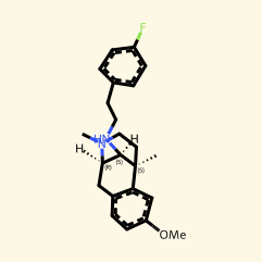 COc1ccc2c(c1)[C@]1(C)CCN(C)[C@H](C2)[C@H]1NCCc1ccc(F)cc1